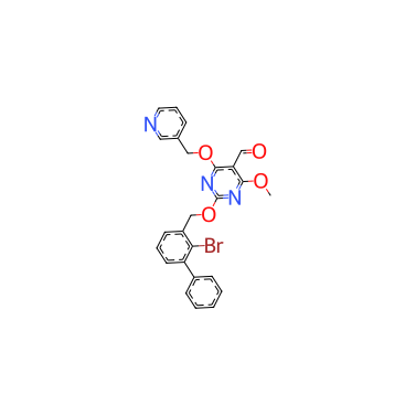 COc1nc(OCc2cccc(-c3ccccc3)c2Br)nc(OCc2cccnc2)c1C=O